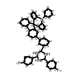 Fc1ccc(C2NC(c3ccc(F)cc3)NC(c3cccc(-c4ccc5c(c4)C4(c6ccccc6-5)c5ccccc5N(c5ccccc5)c5ccccc54)c3)N2)cc1